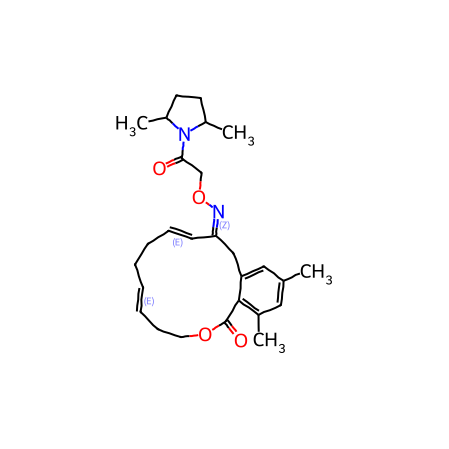 Cc1cc(C)c2c(c1)CC(=N/OCC(=O)N1C(C)CCC1C)/C=C/CC/C=C/CCOC2=O